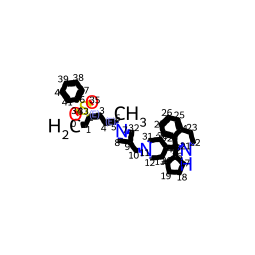 C=C/C(=C\C=C(/C)N1CC(CN2CCC(C3(C4CCCC4)NCCc4ccccc43)CC2)C1)S(=O)(=O)c1ccccc1